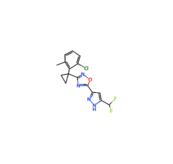 Cc1cccc(Cl)c1C1(c2noc(-c3cc(C(F)F)[nH]n3)n2)CC1